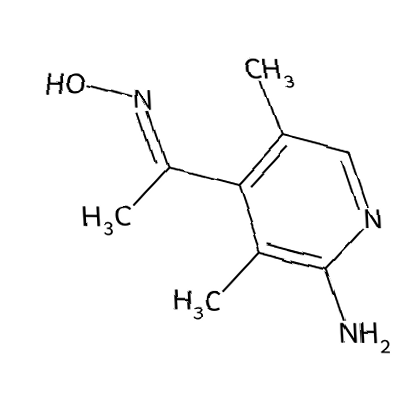 CC(=NO)c1c(C)cnc(N)c1C